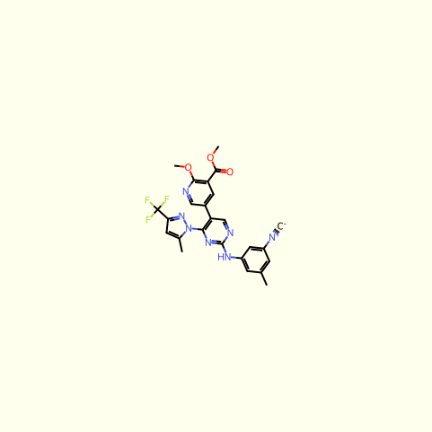 [C-]#[N+]c1cc(C)cc(Nc2ncc(-c3cnc(OC)c(C(=O)OC)c3)c(-n3nc(C(F)(F)F)cc3C)n2)c1